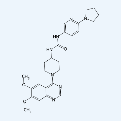 COc1cc2ncnc(N3CCC(NC(=O)Nc4ccc(N5CCCC5)nc4)CC3)c2cc1OC